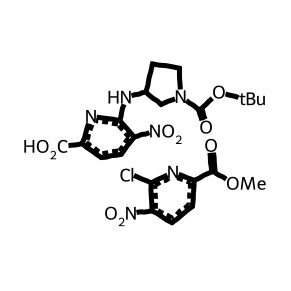 CC(C)(C)OC(=O)N1CCC(Nc2nc(C(=O)O)ccc2[N+](=O)[O-])C1.COC(=O)c1ccc([N+](=O)[O-])c(Cl)n1